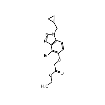 CCOC(=O)COc1ccc2c(nnn2CC2CC2)c1Br